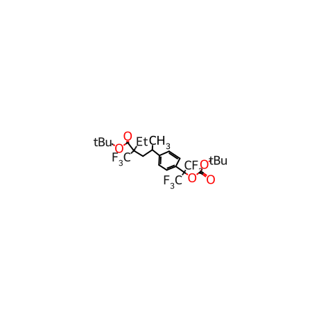 CCC(CC(C)c1ccc(C(OC(=O)OC(C)(C)C)(C(F)(F)F)C(F)(F)F)cc1)(C(=O)OC(C)(C)C)C(F)(F)F